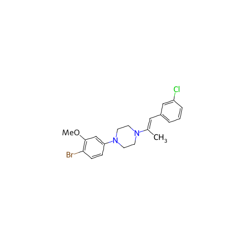 COc1cc(N2CCN(C(C)=Cc3cccc(Cl)c3)CC2)ccc1Br